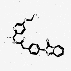 C[C@@H](NC(=O)Cc1ccc(-n2nc3ccccn3c2=O)cc1)c1ccc(OCC(F)(F)F)cn1